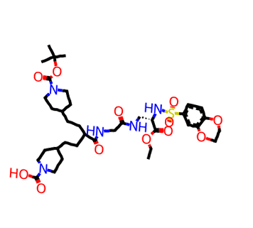 CCOC(=O)[C@H](CNC(=O)CNC(=O)C(CCC1CCN(C(=O)O)CC1)CCC1CCN(C(=O)OC(C)(C)C)CC1)NS(=O)(=O)c1ccc2c(c1)OCCO2